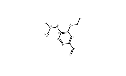 CCOc1cc(C=O)ccc1OC(C)O